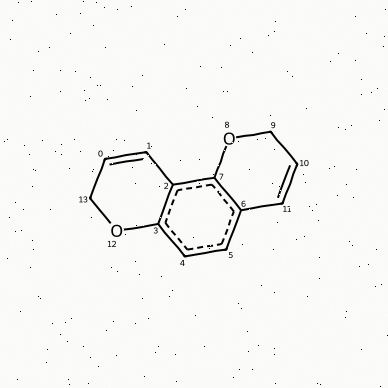 C1=Cc2c(ccc3c2OCC=C3)OC1